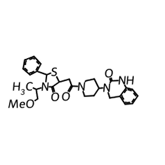 COCC(C)N1C(=O)C(CC(=O)N2CCC(N3Cc4ccccc4NC3=O)CC2)SC1c1ccccc1